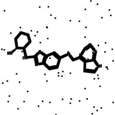 O[C@@H]1CCCCC1Nc1nc2ccc(OCc3ccnc4[nH]ccc34)cc2s1